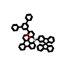 c1ccc(-c2cc(-c3ccccc3)cc(-c3ccc(N(c4ccc5c(c4)C4(c6ccccc6-c6ccccc64)c4ccccc4-5)c4cccc5c6ccccc6c6ccccc6c45)cc3)c2)cc1